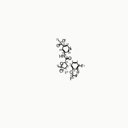 C[C@H]1[C@@H](c2ccc(F)c(F)c2OC(F)F)[C@H](C(=O)Nc2cncc(S(C)(=O)=O)c2)O[C@@]1(C)C(F)(F)F